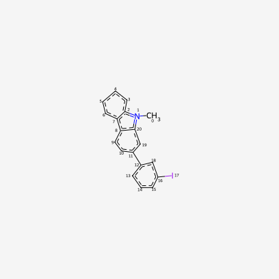 Cn1c2ccccc2c2ccc(-c3cccc(I)c3)cc21